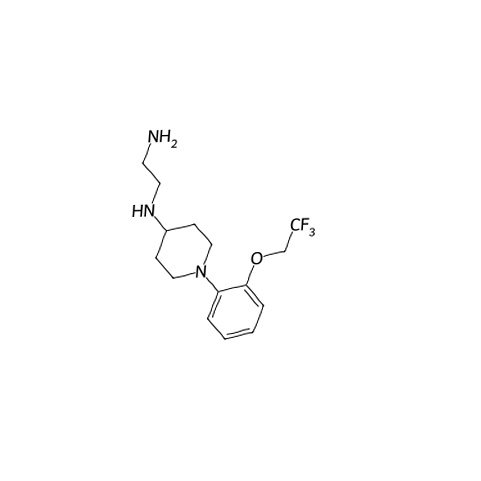 NCCNC1CCN(c2ccccc2OCC(F)(F)F)CC1